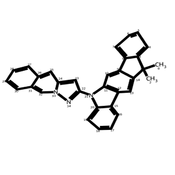 CC1(C)c2ccccc2-c2cc3c(cc21)c1ccccc1n3-c1cc2cc3ccccc3cn2n1